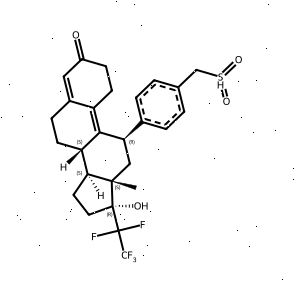 C[C@]12C[C@H](c3ccc(C[SH](=O)=O)cc3)C3=C4CCC(=O)C=C4CC[C@H]3[C@@H]1CC[C@]2(O)C(F)(F)C(F)(F)F